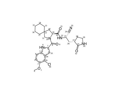 COc1ccc2[nH]c(C(=O)N3CC4(CCCCC4)C[C@H]3C(=O)N[C@H](C#N)C[C@@H]3CCNC3=O)cc2c1Cl